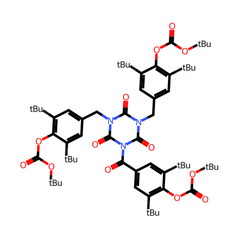 CC(C)(C)OC(=O)Oc1c(C(C)(C)C)cc(Cn2c(=O)n(Cc3cc(C(C)(C)C)c(OC(=O)OC(C)(C)C)c(C(C)(C)C)c3)c(=O)n(C(=O)c3cc(C(C)(C)C)c(OC(=O)OC(C)(C)C)c(C(C)(C)C)c3)c2=O)cc1C(C)(C)C